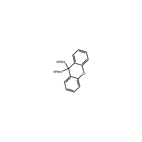 CCCCCCC1(CCCCCC)c2ccccc2Oc2ccccc21